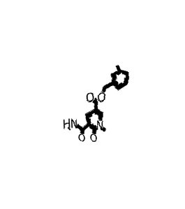 CNC(=O)c1cc(C(=O)OCc2cccc(C)c2)cn(C)c1=O